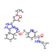 Cc1cc(-c2nnc3c4ccccc4c(OCc4ccc(C(=O)NC5CC5)cn4)nn23)co1